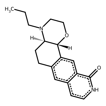 CCCN1CCO[C@@H]2c3cc4c(=O)[nH]ccc4cc3CC[C@H]21